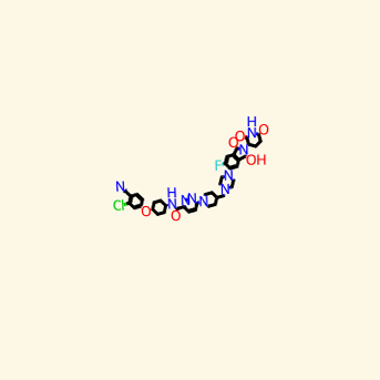 N#Cc1ccc(O[C@H]2CC[C@H](NC(=O)c3ccc(N4CCC(CN5CCN(c6cc7c(cc6F)C(=O)N(C6CCC(=O)NC6=O)C7O)CC5)CC4)nn3)CC2)cc1Cl